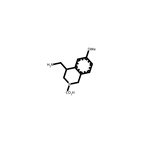 COc1ccc2c(c1)C(CN)CN(C(=O)O)C2